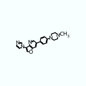 CN1CCN(c2ccc(-c3cnc4c(-n5ccnc5)coc4c3)cc2)CC1